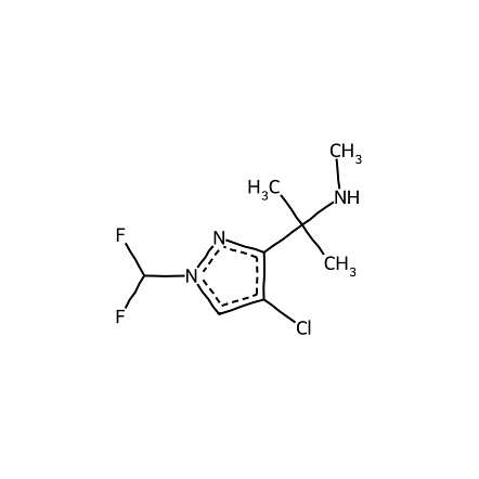 CNC(C)(C)c1nn(C(F)F)cc1Cl